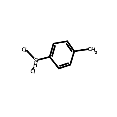 Cc1ccc([SiH](Cl)Cl)cc1